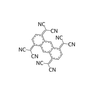 N#CC(C#N)=c1ccc(=C(C#N)C#N)c2cc3c(=C(C#N)C#N)ccc(=C(C#N)C#N)c3cc12